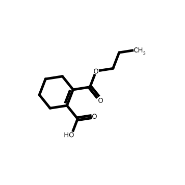 CCCOC(=O)C1=C(C(=O)O)CCCC1